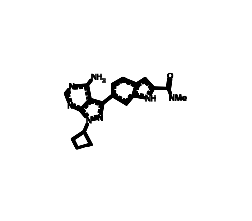 CNC(=O)c1cc2ccc(-c3nn(C4CCC4)c4ncnc(N)c34)cc2[nH]1